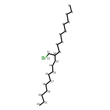 CCCCCCCCCCC(CBr)CCCCCCCCCC